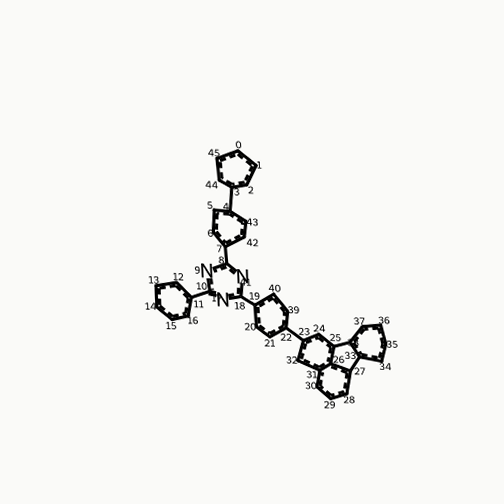 c1ccc(-c2ccc(-c3nc(-c4ccccc4)nc(-c4ccc(-c5cc6c7c(cccc7c5)-c5ccccc5-6)cc4)n3)cc2)cc1